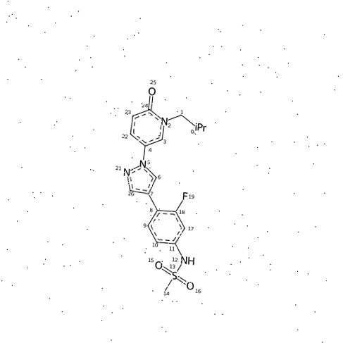 CC(C)Cn1cc(-n2cc(-c3ccc(NS(C)(=O)=O)cc3F)cn2)ccc1=O